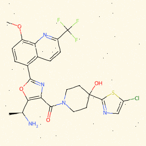 COc1ccc(-c2nc(C(=O)N3CCC(O)(c4ncc(Cl)s4)CC3)c([C@H](C)N)o2)c2ccc(C(F)(F)F)nc12